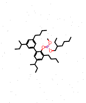 CCCCc1cc(-c2cc(C(C)CC)cc(CCCC)c2OP(OC)OCC(CC)CCCC)cc(C(C)CC)c1